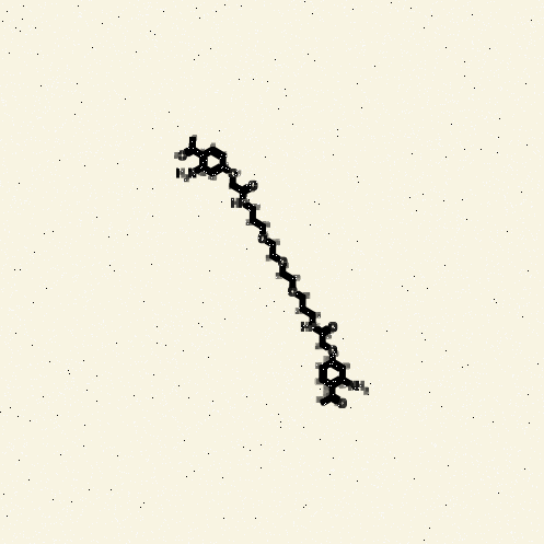 CC(=O)c1ccc(OCC(=O)NCCCOCCOCCOCCCNC(=O)COc2ccc(C(C)=O)c(N)c2)cc1N